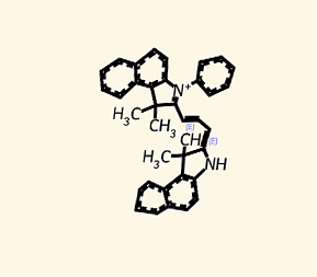 CC1(C)C(/C=C/C=C2/Nc3ccc4ccccc4c3C2(C)C)=[N+](c2ccccc2)c2ccc3ccccc3c21